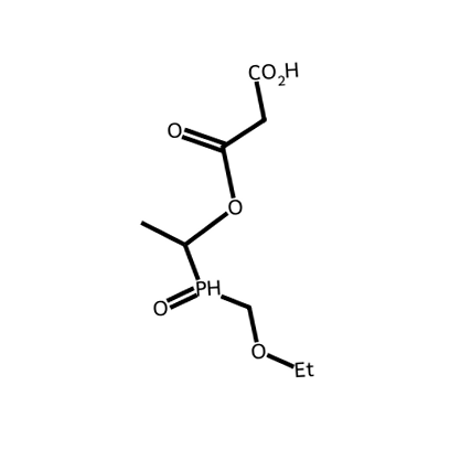 CCOC[PH](=O)C(C)OC(=O)CC(=O)O